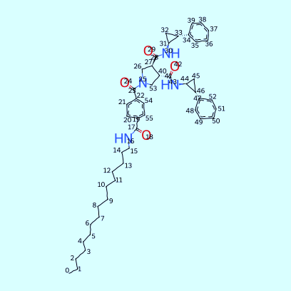 CCCCCCCCCCCCCCCCNC(=O)c1ccc(C(=O)N2C[C@@H](C(=O)N[C@H]3C[C@@H]3c3ccccc3)[C@H](C(=O)N[C@H]3C[C@@H]3c3ccccc3)C2)cc1